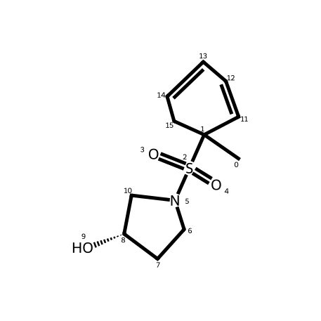 CC1(S(=O)(=O)N2CC[C@H](O)C2)C=CC=CC1